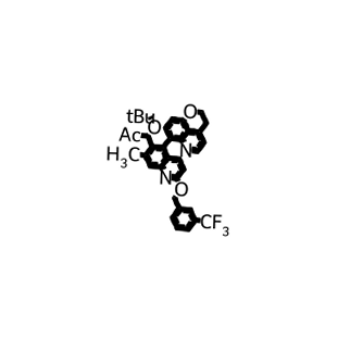 CC(=O)C(OC(C)(C)C)c1c(C)cc2nc(OCc3cccc(C(F)(F)F)c3)ccc2c1-c1ccc2c3c(ccnc13)CCO2